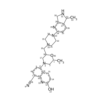 CC1CN(c2ccc(C#N)c3nc(O)ccc23)CC(CN2CCN(c3ccc4c(n3)CNC4C)CC2)O1